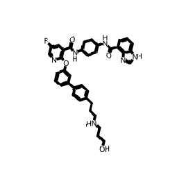 O=C(NC1CCC(NC(=O)c2cccc3[nH]cnc23)CC1)c1cc(F)cnc1Oc1cccc(-c2ccc(CCCNCCCO)cc2)c1